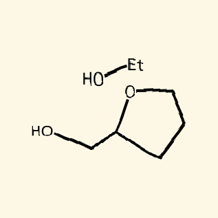 CCO.OCC1CCCO1